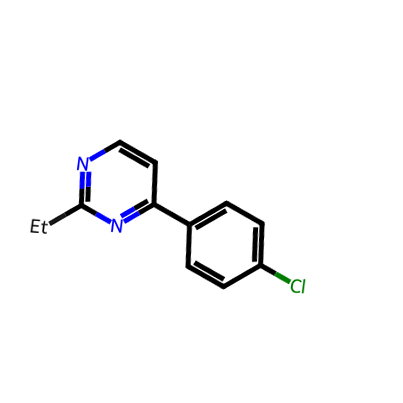 CCc1nccc(-c2ccc(Cl)cc2)n1